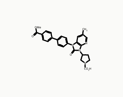 COC(=O)c1ccc(-c2ccc(-n3c(=O)n(C4CCN(C(=O)O)C4)c4ncc(C)cc43)cc2)cc1